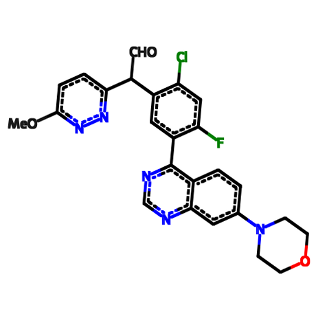 COc1ccc(C(C=O)c2cc(-c3ncnc4cc(N5CCOCC5)ccc34)c(F)cc2Cl)nn1